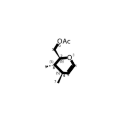 CC(=O)OC[C@H]1OC=C[C@@H](C)[C@@H]1C